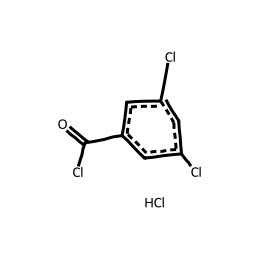 Cl.O=C(Cl)c1cc(Cl)cc(Cl)c1